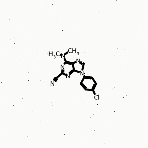 CN(C)c1nc(C#N)nc2c1ncn2-c1ccc(Cl)cc1